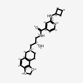 O=C(NC[C@H](O)CN1CCc2c(ccc3c2OCO3)C1)c1ccnc(NC2CCC2)c1